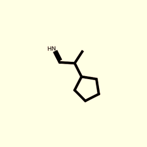 CC(C=N)C1CCCC1